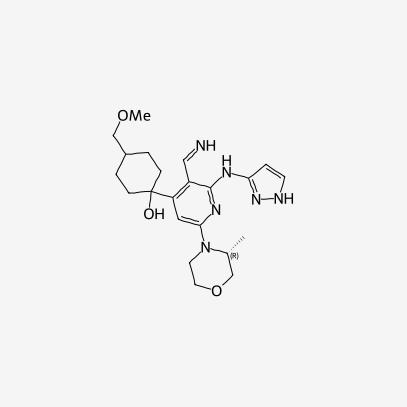 COCC1CCC(O)(c2cc(N3CCOC[C@H]3C)nc(Nc3cc[nH]n3)c2C=N)CC1